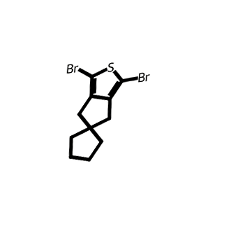 Brc1sc(Br)c2c1CC1(CCCC1)C2